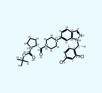 C[C@H](c1ccc(Cl)cc1Cl)n1ncc2ccc(N3CCN(C(=O)[C@H]4CCCN4C(=O)OC(C)(C)C)CC3)cc21